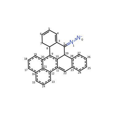 [N-]=[N+]=C1C2=CC=CCC2c2c3c(c4cccc5cccc2c54)=Cc2ccccc2C13